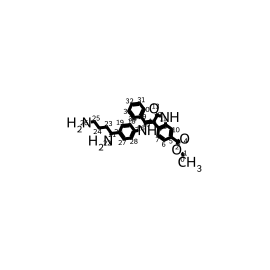 CCOC(=O)c1ccc2c(c1)NC(=O)C2=C(Nc1ccc(C(N)CCCN)cc1)c1ccccc1